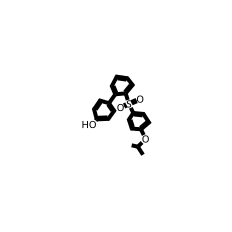 CC(C)Oc1ccc(S(=O)(=O)c2ccccc2-c2ccc(O)cc2)cc1